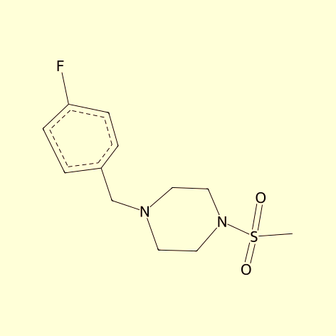 CS(=O)(=O)N1CCN(Cc2ccc(F)cc2)CC1